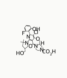 CC1(C)CC(CO)CN1c1nc(-c2c(O)cccc2F)c(Cl)c2c1C(=O)N1CCN(C(=O)O)C[C@@H]1CO2